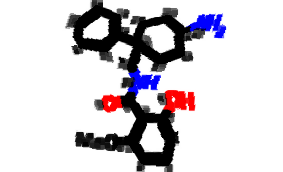 COc1cccc(O)c1C(=O)NC[C@]1(c2ccccc2)CC[C@H](N)CC1